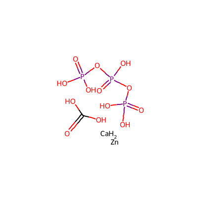 O=C(O)O.O=P(O)(O)OP(=O)(O)OP(=O)(O)O.[CaH2].[Zn]